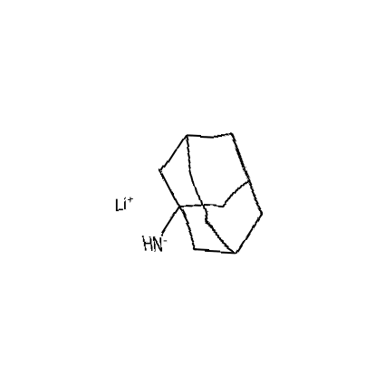 [Li+].[NH-]C12CC3CC(CC(C3)C1)C2